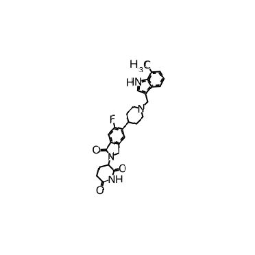 Cc1cccc2c(CN3CCC(c4cc5c(cc4F)C(=O)N(C4CCC(=O)NC4=O)C5)CC3)c[nH]c12